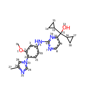 COc1cc(Nc2nccc(C(O)(C3CC3)C3CC3)n2)ccc1-n1cnc(C)c1